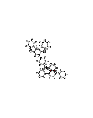 c1ccc(-c2ccc(-c3ccccc3N(c3ccccc3)c3ccc(-c4cc5oc6ccccc6c5c5c4oc4ccccc45)cc3)cc2)cc1